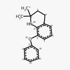 CC1(C)CCc2cccc(Oc3ccccc3)c2N1